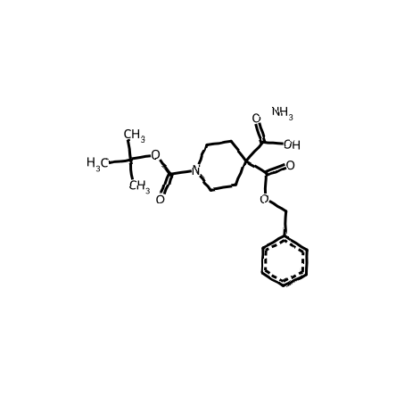 CC(C)(C)OC(=O)N1CCC(C(=O)O)(C(=O)OCc2ccccc2)CC1.N